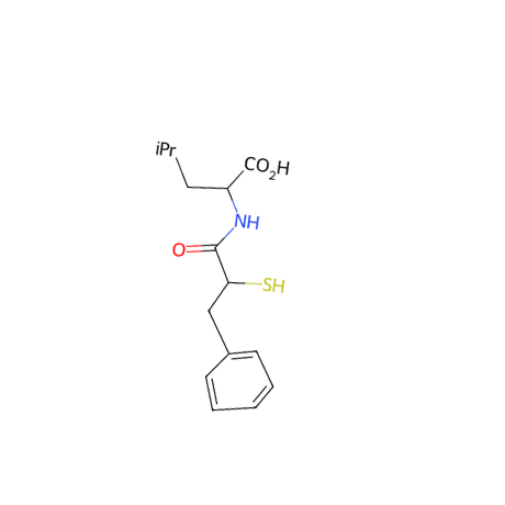 CC(C)CC(NC(=O)C(S)Cc1ccccc1)C(=O)O